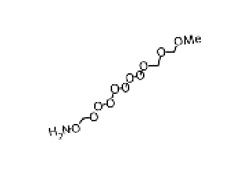 COCOCOOOOOOOOCON